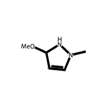 COC1[C]=CN(C)N1